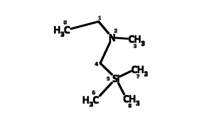 CCN(C)C[Si](C)(C)C